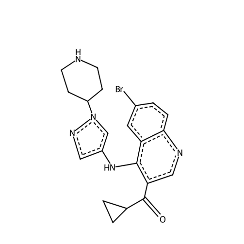 O=C(c1cnc2ccc(Br)cc2c1Nc1cnn(C2CCNCC2)c1)C1CC1